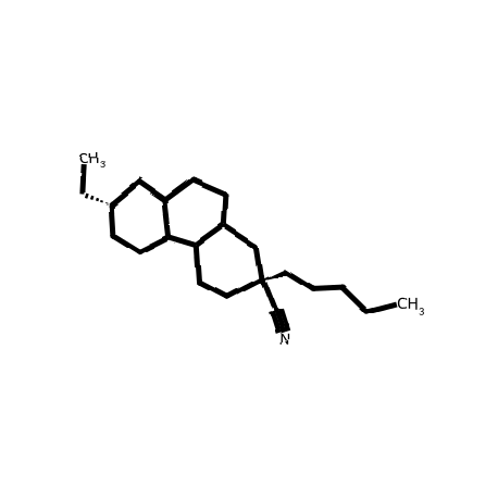 CCCCC[C@@]1(C#N)CCC2C(CCC3C[C@@H](CC)CCC32)C1